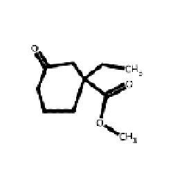 CCC1(C(=O)OC)CCCC(=O)C1